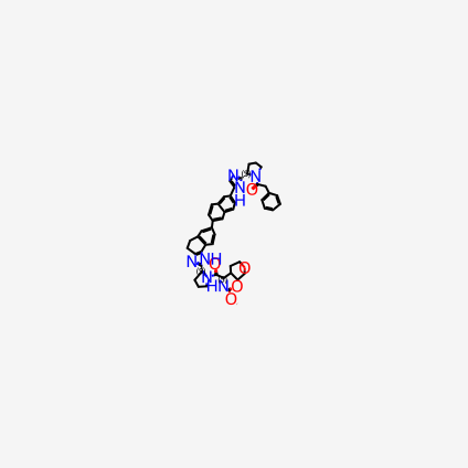 COC(=O)N[C@H](C(=O)N1CCC[C@H]1c1nc2c([nH]1)-c1ccc(-c3ccc4cc(-c5cnc([C@@H]6CCCN6C(=O)Cc6ccccc6)[nH]5)ccc4c3)cc1CC2)C1CCOCC1